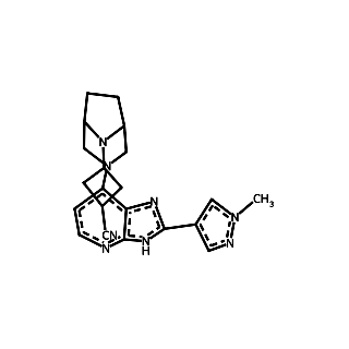 Cn1cc(-c2nc3c(N4CC5CCC(C4)N5C4CC(C#N)C4)ccnc3[nH]2)cn1